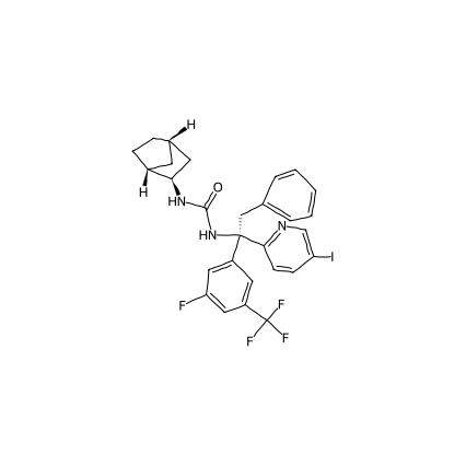 O=C(N[C@@H]1C[C@H]2CC[C@@H]1C2)N[C@](Cc1ccccc1)(c1cc(F)cc(C(F)(F)F)c1)c1ccc(I)cn1